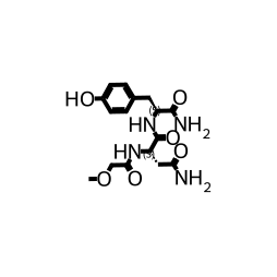 COCC(=O)N[C@@H](CC(N)=O)C(=O)N[C@@H](Cc1ccc(O)cc1)C(N)=O